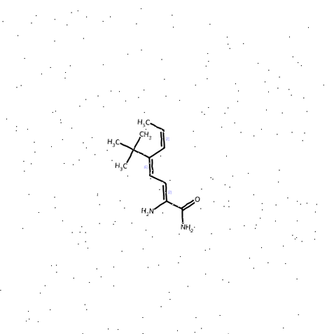 C\C=C/C(=C\C=C(/N)C(N)=O)C(C)(C)C